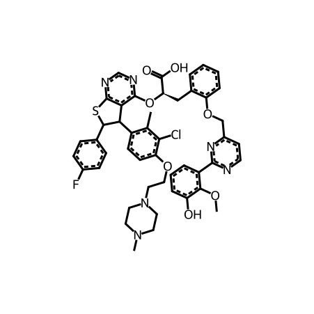 COc1c(O)cccc1-c1nccc(COc2ccccc2C[C@@H](Oc2ncnc3c2C(c2ccc(OCCN4CCN(C)CC4)c(Cl)c2C)C(c2ccc(F)cc2)S3)C(=O)O)n1